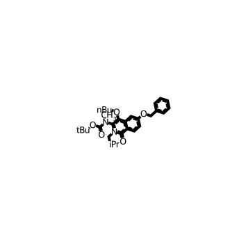 CCCCOc1c(N(C)C(=O)OC(C)(C)C)n(CC(C)C)c(=O)c2ccc(OCc3ccccc3)cc12